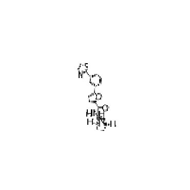 O=C(N[C@@H]1C[C@H]2CC[C@@H]1N2)c1ccc(-c2cccc(-c3nccs3)c2)o1